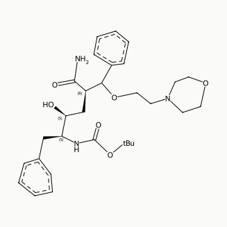 CC(C)(C)OC(=O)N[C@@H](Cc1ccccc1)[C@@H](O)C[C@@H](C(N)=O)C(OCCN1CCOCC1)c1ccccc1